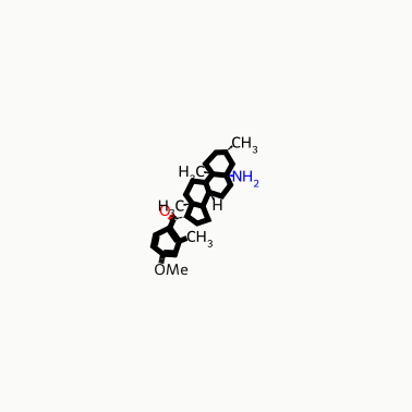 COc1ccc(C(=O)[C@H]2CCC3[C@@H]4CC[C@]5(N)C[C@@H](C)CC[C@]5(C)C4CC[C@@]32C)c(C)c1